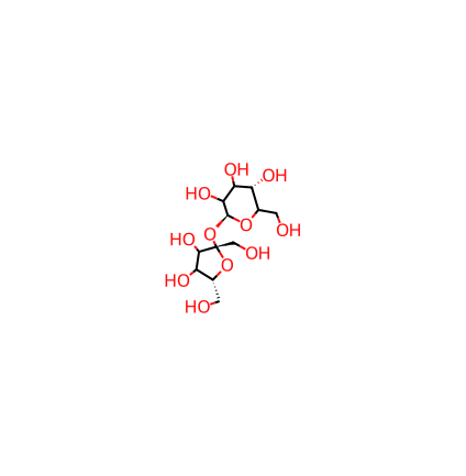 OCC1O[C@@H](O[C@]2(CO)O[C@H](CO)C(O)C2O)C(O)C(O)[C@@H]1O